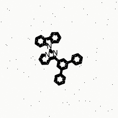 c1ccc(-c2cc(-c3ccccc3)cc(-c3nc(-n4c5ccccc5c5ccccc54)n4ccccc34)c2)cc1